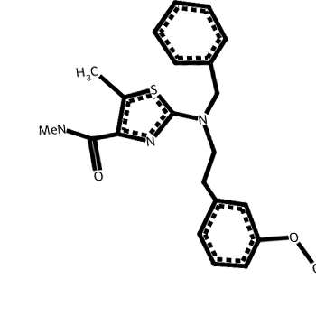 CNC(=O)c1nc(N(CCc2cccc(OC(F)(F)F)c2)Cc2ccccc2)sc1C